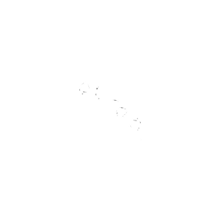 O=C(NC1CCC(=Cc2cccc(Oc3ccc(C4CC4)cn3)c2)CC1)c1cccnc1